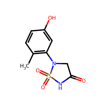 Cc1ccc(O)cc1N1CC(=O)NS1(=O)=O